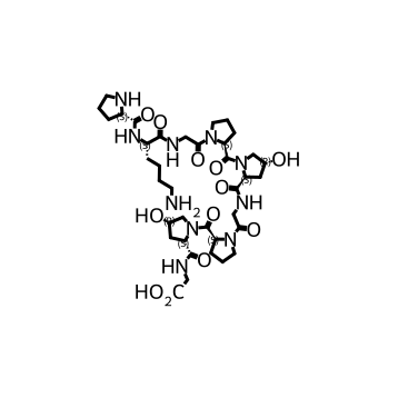 NCCCC[C@H](NC(=O)[C@@H]1CCCN1)C(=O)NCC(=O)N1CCC[C@H]1C(=O)N1C[C@H](O)C[C@H]1C(=O)NCC(=O)N1CCC[C@H]1C(=O)N1C[C@H](O)C[C@H]1C(=O)NCC(=O)O